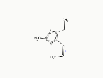 C=Cc1sc(C)nc1/C=C\C